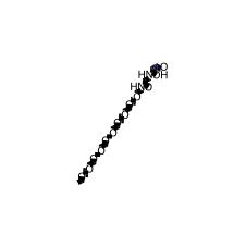 CCOCCOCCOCCOCCOCCOCCOCCOCCOCCOCCNC(=O)CCNC(O)/C=C\C=O